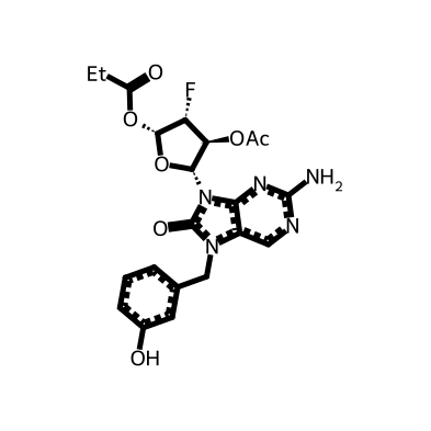 CCC(=O)O[C@H]1O[C@@H](n2c(=O)n(Cc3cccc(O)c3)c3cnc(N)nc32)[C@H](OC(C)=O)[C@H]1F